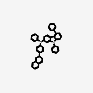 C1=c2ccccc2=CC(c2ccc(N(c3ccccc3)C3C=c4c(c5c(-c6ccccc6)cccc5n4-c4ccccc4)=CC3)cc2)C1